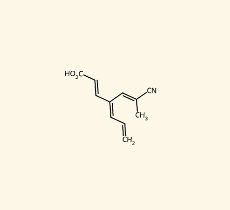 C=CC=C(C=CC(=O)O)C=C(C)C#N